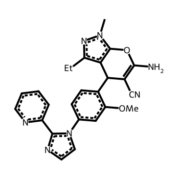 CCc1nn(C)c2c1C(c1ccc(-n3ccnc3-c3ccccn3)cc1OC)C(C#N)=C(N)O2